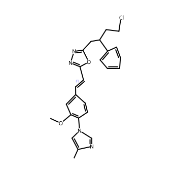 COc1cc(/C=C/c2nnc(CC(CCCl)c3ccccc3)o2)ccc1-n1cnc(C)c1